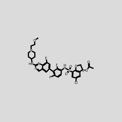 COCCN1CCC(Nc2ncc3cc(-c4c(F)ccc(NS(=O)(=O)c5cc(Cl)cc6c5OC[C@H]6OC(C)=O)c4F)cc(F)c3n2)CC1